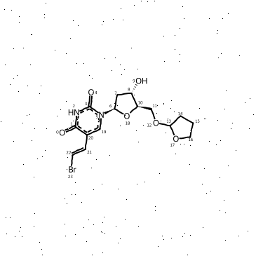 O=c1[nH]c(=O)n([C@H]2C[C@H](O)[C@@H](COC3CCCO3)O2)cc1C=CBr